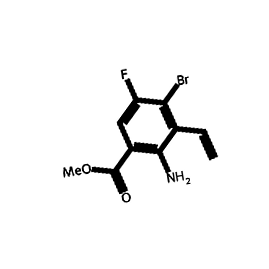 C=Cc1c(N)c(C(=O)OC)cc(F)c1Br